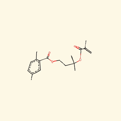 C=C(C)C(=O)OC(C)(C)CCOC(=O)c1cc(C)ccc1C